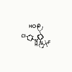 CCC(CC(=O)O)c1ccc(N2CCCC2C(C)(C)F)c(Nc2ccc(Cl)cc2)c1